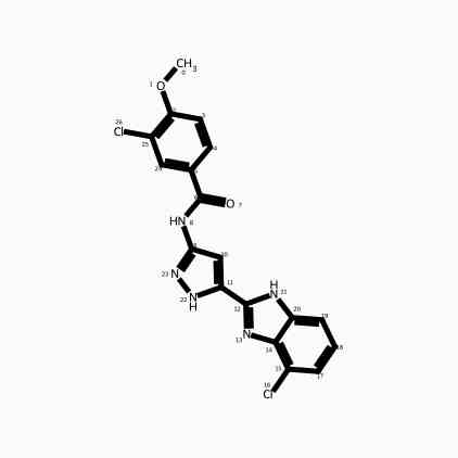 COc1ccc(C(=O)Nc2cc(-c3nc4c(Cl)cccc4[nH]3)[nH]n2)cc1Cl